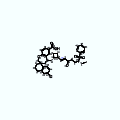 CC[C@H](CCC(=O)/C=C/[C@@H]1CC[C@H]1CN1CC2(CCCc3cc(Cl)ccc32)COc2ccc(C(=O)O)cc21)S(=O)(=O)c1ncccn1